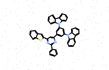 c1ccc(-c2nc(-c3cc(-n4c5ccccc5c5ccccc54)cc(-n4c5ccccc5c5ccccc54)c3)cc(-c3cc4ccccc4s3)n2)cc1